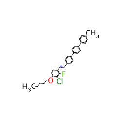 CCCCCOc1ccc(/C=C/c2ccc(-c3ccc(-c4ccc(C)cc4)cc3)cc2)c(F)c1Cl